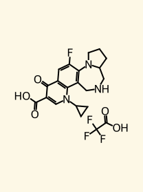 O=C(O)C(F)(F)F.O=C(O)c1cn(C2CC2)c2c3c(c(F)cc2c1=O)N1CCCC1CNC3